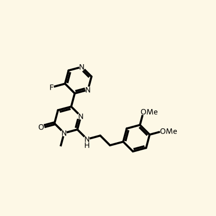 COc1ccc(CCNc2nc(-c3ncncc3F)cc(=O)n2C)cc1OC